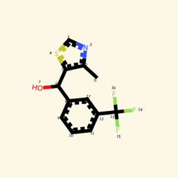 Cc1ncsc1C(O)c1cccc(C(F)(F)F)c1